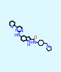 O=C(NC1CCC(CN2CCCC2)CC1)c1cc2cc(Nc3nccc(-c4ccccn4)n3)ccc2[nH]1